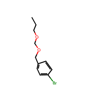 CCCOCOCc1ccc(Br)cc1